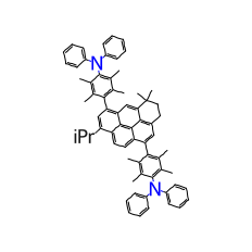 Cc1c(C)c(N(c2ccccc2)c2ccccc2)c(C)c(C)c1-c1cc(C(C)C)c2ccc3c(-c4c(C)c(C)c(N(c5ccccc5)c5ccccc5)c(C)c4C)cc4c5c(cc1c2c35)C(C)(C)CC4